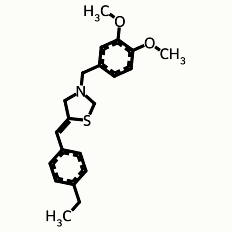 CCc1ccc(/C=C2/CN(Cc3ccc(OC)c(OC)c3)CS2)cc1